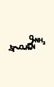 C[Si](C)(C)CCOCn1cnc(C(N)=O)c1